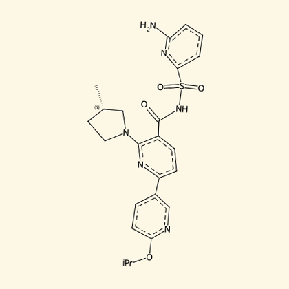 CC(C)Oc1ccc(-c2ccc(C(=O)NS(=O)(=O)c3cccc(N)n3)c(N3CC[C@H](C)C3)n2)cn1